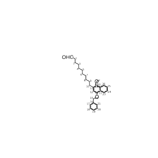 O=CCCCCCCCCCCc1cc(OCc2ccccc2)c2ccccc2[n+]1[O-]